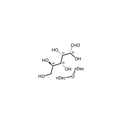 CCCCCCCCCCOCCCCCCCCCC.O=C[C@H](O)[C@@H](O)[C@H](O)[C@H](O)CO